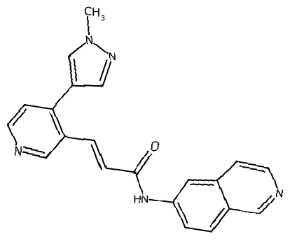 Cn1cc(-c2ccncc2/C=C/C(=O)Nc2ccc3cnccc3c2)cn1